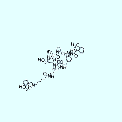 Cc1ccccc1NC(=O)Nc1ccc(CC(=O)N[C@@H](CCCCNC(=O)CCCCCN(CC(=O)O)Cc2ccccn2)C(=O)N[C@@H](CC(=O)O)C(=O)N[C@H](C(=O)N2CCC[C@H]2C=O)C(C)C)cc1